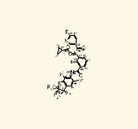 O=C(Nc1c(Br)cc(C(F)(C(F)(F)F)C(F)(F)C(F)(F)F)cc1I)c1cccc(N(OC(=O)C2CC2)C(=O)c2ccc(F)nc2)c1F